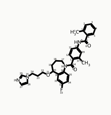 Cc1ccccc1C(=O)Nc1ccc(C(=O)N2CCCC(OCCCn3ccnc3)c3cc(F)ccc32)c(C)c1